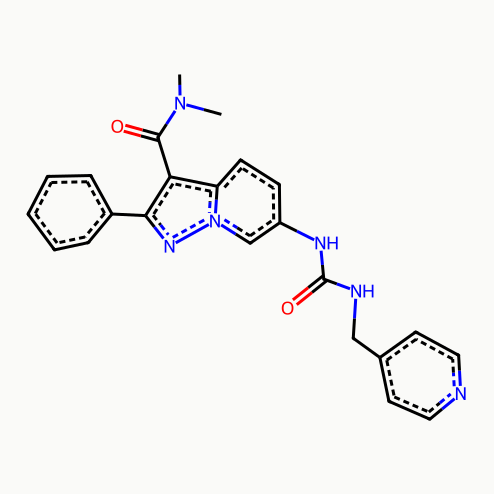 CN(C)C(=O)c1c(-c2ccccc2)nn2cc(NC(=O)NCc3ccncc3)ccc12